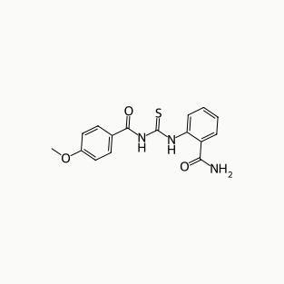 COc1ccc(C(=O)NC(=S)Nc2ccccc2C(N)=O)cc1